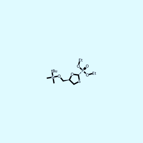 CCOP(=O)(OCC)[C@H]1O[C@H](CO[Si](C)(C)C(C)(C)C)CS1